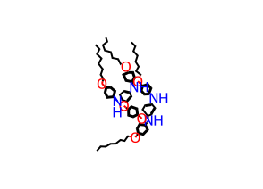 CCCCCCCCOc1ccc(NC2=CCC(Nc3ccc(OCCCCCCCC)cc3)(Oc3ccc(OC4(Nc5ccc(OCCCCCCCC)cc5)C=CC(Nc5ccc(OCCCCCCCC)cc5)=CC4)cc3)C=C2)cc1